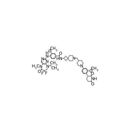 COc1cc(C(=O)NC2CC3(CCN(CC4CCN(c5ccc(C6CCC(=O)NC6=O)c(OC)c5)CC4)CC3)C2)ccc1Nc1ncc2c(n1)N(C(C)C)CC(F)(F)C(=O)N2C